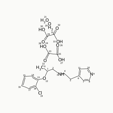 CC(CNCCc1ccncc1)Oc1ccccc1Cl.O.O.O=C(O)C(=O)O.O=C(O)C(=O)O